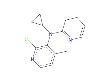 Cc1ccnc(Cl)c1N(C1=NC=CCC1)C1CC1